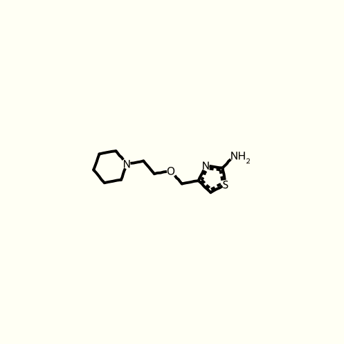 Nc1nc(COCCN2CCCCC2)cs1